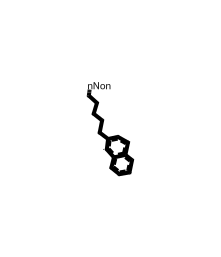 CCCCCCCCCCCCCCc1[c]c2ccccc2cc1